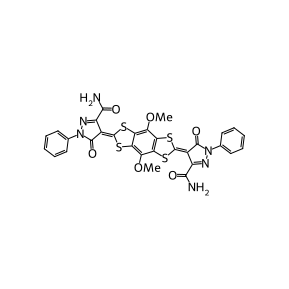 COc1c2c(c(OC)c3c1SC(=C1C(=O)N(c4ccccc4)N=C1C(N)=O)S3)SC(=C1C(=O)N(c3ccccc3)N=C1C(N)=O)S2